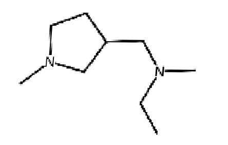 CCN(C)CC1CCN(C)C1